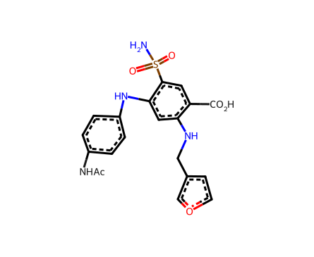 CC(=O)Nc1ccc(Nc2cc(NCc3ccoc3)c(C(=O)O)cc2S(N)(=O)=O)cc1